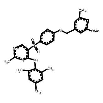 COc1cc(COc2ccc(S(=O)(=O)c3cnc(C)nc3Nc3c(C)cc(C)cc3C)cc2)cc(OC)c1